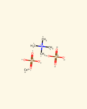 C[N+](C)(C)C.O=S(=O)([O-])[O-].O=S(=O)([O-])[O-].[Ce+3]